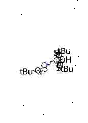 C[C@@H](OCCC(C)(C)C)C1CCC2/C(=C/C=C3C[C@@H](O[Si](C)(C)C(C)(C)C)C(O)[C@H](O[Si](C)(C)C(C)(C)C)C3)CCCC21C